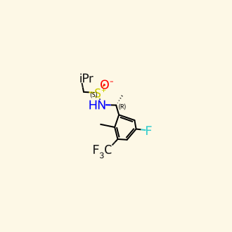 Cc1c([C@@H](C)N[S@+]([O-])CC(C)C)cc(F)cc1C(F)(F)F